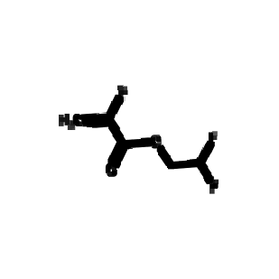 C=C(F)C(=O)OCC(F)F